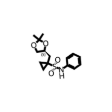 CC1(C)OC[C@H](CC2(S(=O)(=O)Nc3ccccc3)CC2)O1